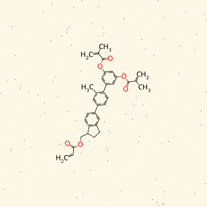 C=CC(=O)OCC1CCc2cc(-c3ccc(-c4cc(OC(=O)C(=C)C)cc(OC(=O)C(=C)C)c4)c(C)c3)ccc21